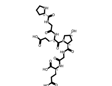 O=C(O)CC[C@H](NC(=O)CNC(=O)[C@@H]1C[C@@H](O)CN1C(=O)[C@H](CCC(=O)O)NC(=O)CNC(=O)[C@@H]1CCCN1)C(=O)O